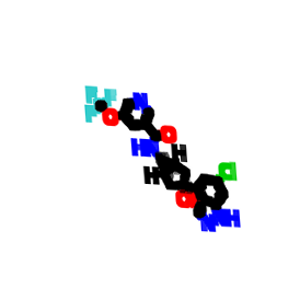 O=C(N[C@H]1[C@@H]2C[C@](O)(c3cc(Cl)cc4[nH]ncc34)C[C@@H]21)c1cncc(OC(F)(F)F)c1